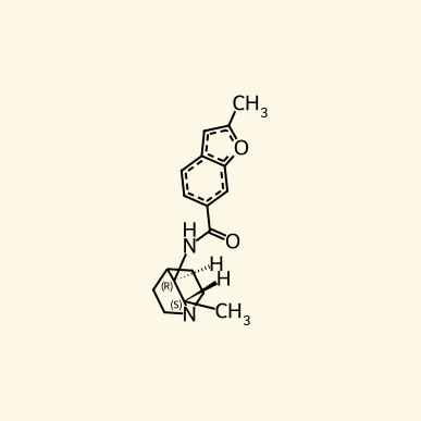 Cc1cc2ccc(C(=O)N[C@@H]3C4CCN(CC4)[C@H]3C)cc2o1